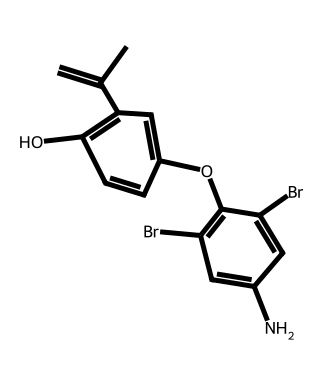 C=C(C)c1cc(Oc2c(Br)cc(N)cc2Br)ccc1O